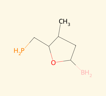 BC1CC(C)C(CP)O1